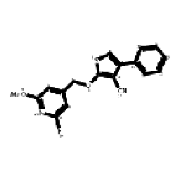 COc1cc(COc2scc(-c3ccccc3)c2C#N)cc(F)n1